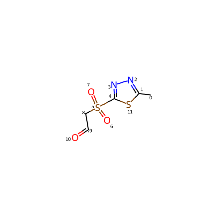 Cc1nnc(S(=O)(=O)C[C]=O)s1